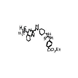 CCOC(=O)c1ccc(NC(=S)N[C@H]2CC[C@@H](Nc3nc4c(c(N(C)C)n3)CCCC4)CC2)cc1